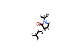 CC(C)CC[C@H]1CCN(C(C)C)C1=O